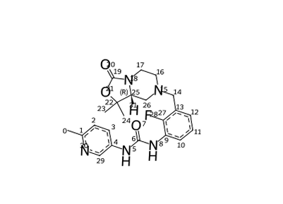 Cc1ccc(NC(=O)Nc2cccc(CN3CCN4C(=O)OC(C)(C)[C@H]4C3)c2F)cn1